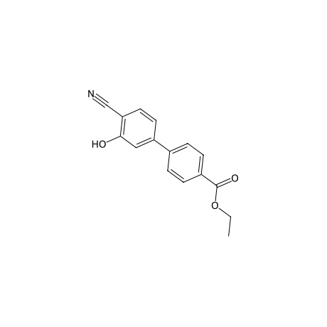 CCOC(=O)c1ccc(-c2ccc(C#N)c(O)c2)cc1